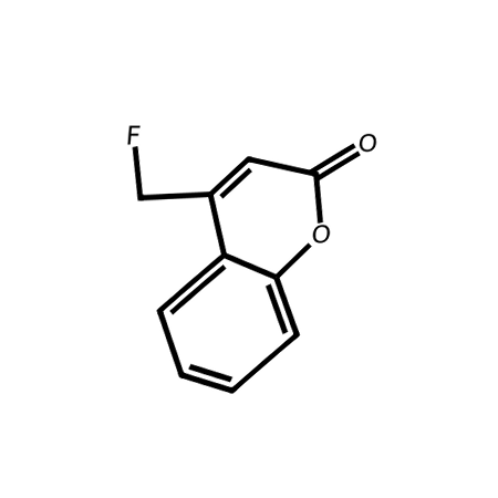 O=c1cc(CF)c2ccccc2o1